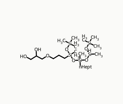 CCCCCCC[Si](C)(O[SiH](C)O[Si](C)(C)C)O[Si](C)(CCCOCC(O)CO)O[Si](C)(C)C